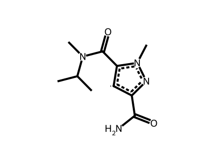 CC(C)N(C)C(=O)c1[c]c(C(N)=O)nn1C